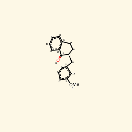 COc1cccc(C[C@@H]2CCc3ccccc3C2=O)c1